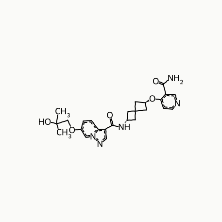 CC(C)(O)COc1ccc2c(C(=O)N[C@H]3CC4(C3)C[C@H](Oc3ccncc3C(N)=O)C4)cnn2c1